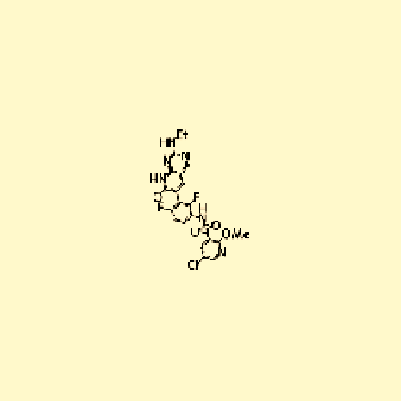 CCNc1ncc2cc(-c3c(F)ccc(NS(=O)(=O)c4cc(Cl)cnc4OC)c3F)c(=O)[nH]c2n1